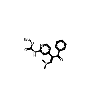 CN(C)C=C(C(=O)c1ccccc1)c1ccnc(NC(=O)OC(C)(C)C)c1